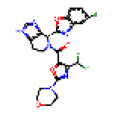 O=C(c1oc(N2CCOCC2)nc1C(F)F)N1CCc2[nH]cnc2[C@H]1c1nc2cc(F)ccc2o1